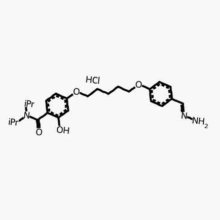 CC(C)N(C(=O)c1ccc(OCCCCCOc2ccc(C=NN)cc2)cc1O)C(C)C.Cl